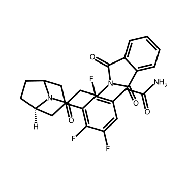 NC(=O)Cc1cc(F)c(F)c(C2CC3CC[C@H](C2)N3C(=O)CCN2C(=O)c3ccccc3C2=O)c1F